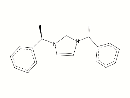 C[C@H](c1ccccc1)N1C=CN([C@H](C)c2ccccc2)C1